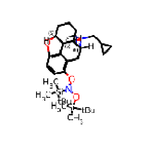 CC(C)(C)[Si](C)(C)ON(Oc1ccc2c3c1C[C@@H]1[C@@H]4CCC[C@H](O2)[C@]34CCN1CC1CC1)[Si](C)(C)C(C)(C)C